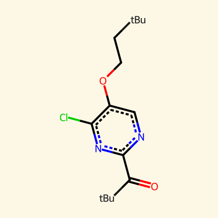 CC(C)(C)CCOc1cnc(C(=O)C(C)(C)C)nc1Cl